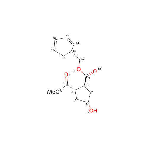 COC(=O)[C@H]1C[C@@H](O)C[C@@H]1C(=O)OCC1C=CC=CC1